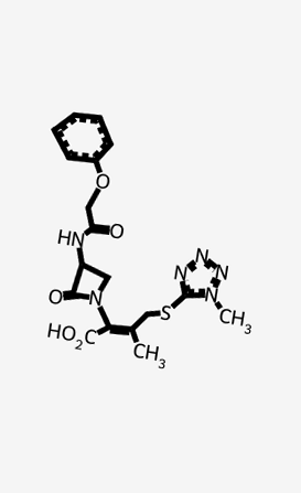 CC(CSc1nnnn1C)=C(C(=O)O)N1CC(NC(=O)COc2ccccc2)C1=O